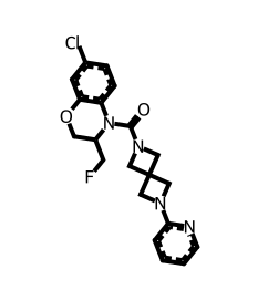 O=C(N1CC2(C1)CN(c1ccccn1)C2)N1c2ccc(Cl)cc2OCC1CF